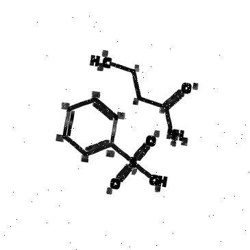 CCCC(N)=O.O=S(=O)(O)c1ccccc1